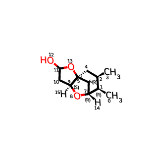 C[C@@H]1[C@H](C)C[C@]23C[C@H]1O[C@H]2CC(O)O3